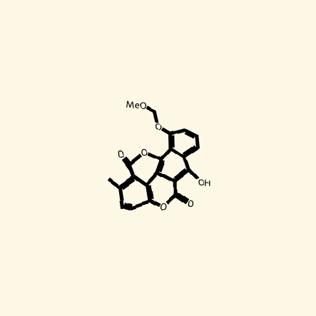 COCOc1cccc2c(O)c3c(=O)oc4ccc(C)c5c(=O)oc(c12)c3c45